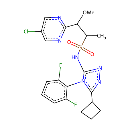 COC(c1ncc(Cl)cn1)C(C)S(=O)(=O)Nc1nnc(C2CCC2)n1-c1c(F)cccc1F